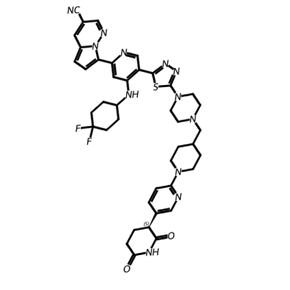 N#Cc1cnn2c(-c3cc(NC4CCC(F)(F)CC4)c(-c4nnc(N5CCN(CC6CCN(c7ccc([C@@H]8CCC(=O)NC8=O)cn7)CC6)CC5)s4)cn3)ccc2c1